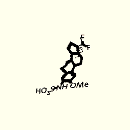 COc1cc2c(cc1NS(=O)(=O)O)CCC1C2CC[C@@]2(C)C1CC[C@@H]2C(F)F